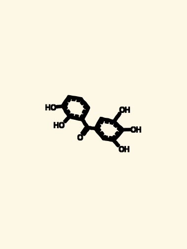 O=C(c1cc(O)c(O)c(O)c1)c1cccc(O)c1O